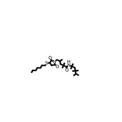 CCCCCCCSC1CC(=O)N(CC(C)CC(C)(C)C(=O)NC(C)(C)CC(C)(C)C(C)C)C1=O